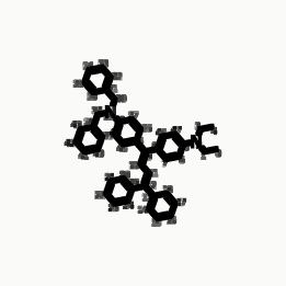 CCN(CC)c1ccc(/C(=C\C=C(c2ccccc2)c2ccccc2)c2ccc(N(Cc3ccccc3)Cc3ccccc3)cc2)cc1